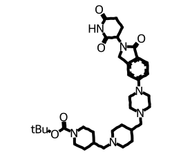 CC(C)(C)OC(=O)N1CCC(CN2CCC(CN3CCN(c4ccc5c(c4)CN(C4CCC(=O)NC4=O)C5=O)CC3)CC2)CC1